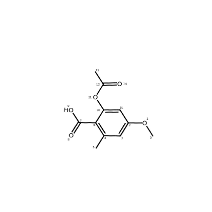 COc1cc(C)c(C(=O)O)c(OC(C)=O)c1